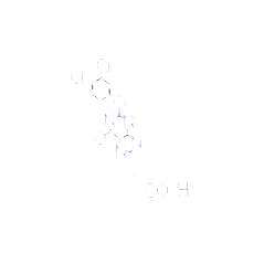 Cn1c(C2CC(C(=O)O)C2)nc2c1c(=O)n(Cc1ccc(Cl)c(Cl)c1)c(=O)n2C